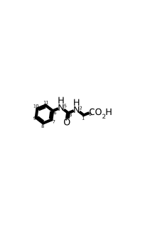 O=C(O)CNC(=O)Nc1ccccc1